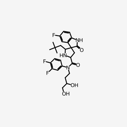 CC(C)(C)CC1NC(C(=O)N(CCC(O)CO)c2ccc(F)c(F)c2)CC12C(=O)Nc1ccc(F)cc12